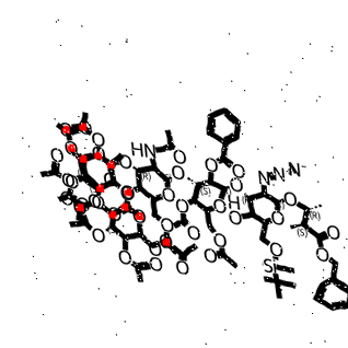 CC(=O)NC1[C@H](O[C@H]2C(OC(C)=O)C(COC(C)=O)O[C@@H](O[C@H]3C(O)C(CO[Si](C)(C)C(C)(C)C)O[C@H](O[C@H](C)[C@H](C)C(=O)OCc4ccccc4)C3N=[N+]=[N-])C2OC(=O)c2ccccc2)OC(COC(C)=O)C(O[C@@H]2OC(COC(C)=O)C(OC(C)=O)[C@H](OC(C)=O)C2OC2OC(C)[C@H](OC(C)=O)C(OC(C)=O)[C@H]2OC(C)=O)[C@@H]1O[C@@H]1OC(C)C(OC(C)=O)[C@H](OC(C)=O)C1OC(C)=O